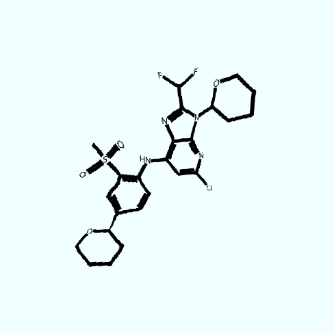 CS(=O)(=O)c1cc([C@H]2CCCCO2)ccc1Nc1cc(Cl)nc2c1nc(C(F)F)n2C1CCCCO1